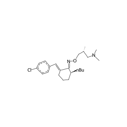 CCCC[C@H]1CCCC(=C\c2ccc(Cl)cc2)/C1=N/OC[C@H](C)CN(C)C